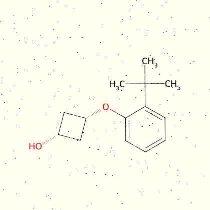 CC(C)(C)c1ccccc1O[C@H]1C[C@@H](O)C1